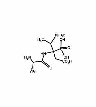 CCC[C@H](N)C(=O)NC(CC(=O)O)(C(C)NC(C)=O)P(=O)(O)O